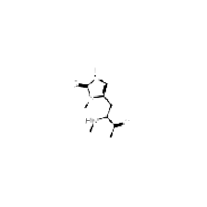 CNC(Cc1c[nH]c(=S)n1C)C(C)=O